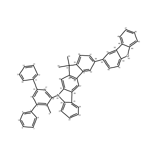 Cc1c(-c2ccccc2)cc(-c2ccccc2)nc1-n1c2ccccc2c2cc3c(cc21)C(C)(C)c1ccc(-c2ccc4oc5ccccc5c4c2)cc1-3